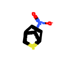 O=[N+]([O-])c1c2csc1C=C2